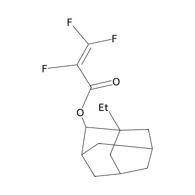 CCC12CC3CC(CC(C3)C1OC(=O)C(F)=C(F)F)C2